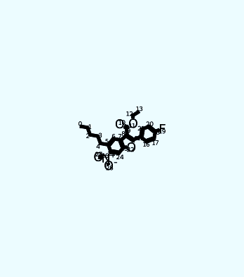 CCCCCc1cc2c(C(=O)OCC)c(-c3ccc(F)cc3)oc2cc1[N+](=O)[O-]